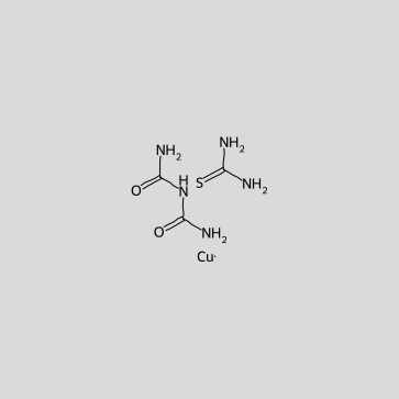 NC(=O)NC(N)=O.NC(N)=S.[Cu]